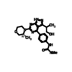 CNC(=O)Nc1ccc(-c2nc(N3CCOC[C@H]3C)nc3[nH]nc(C(C)CO)c23)cc1